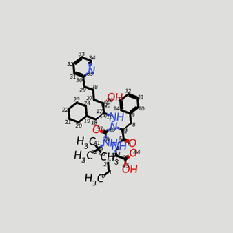 CCC[C@H](NC(=O)[C@H](Cc1ccccc1)N(N[C@@H](CC1CCCCC1)[C@@H](O)CCCc1ccccn1)C(=O)NC(C)(C)C)C(=O)O